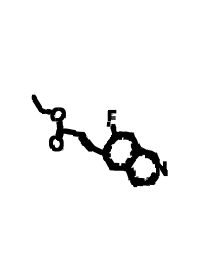 CCOC(=O)/C=C/c1cc2ccncc2cc1F